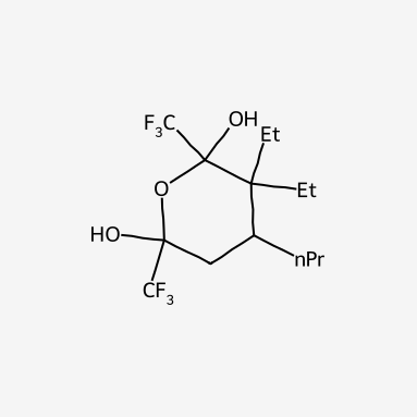 CCCC1CC(O)(C(F)(F)F)OC(O)(C(F)(F)F)C1(CC)CC